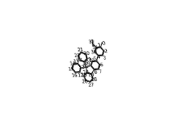 Cc1ccc(-c2ccc3c(c2)C(c2ccccc2)(c2ccccc2)c2ccccc2-3)cc1I